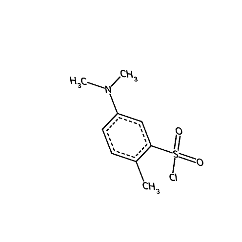 Cc1ccc(N(C)C)cc1S(=O)(=O)Cl